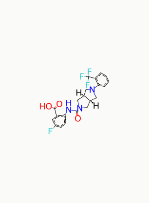 O=C(O)c1cc(F)ccc1NC(=O)N1C[C@@H]2CN(c3ccccc3C(F)(F)F)C[C@@H]2C1